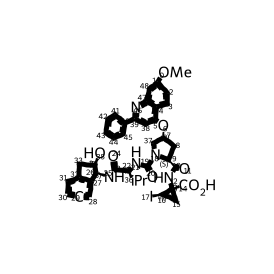 COc1ccc2c(O[C@@H]3C[C@@H](C(=O)N[C@]4(C(=O)O)C[C@H]4I)N(C(=O)N[C@H](C(=O)N[C@H]4c5ccccc5C[C@H]4O)C(C)C)C3)cc(-c3ccccc3)nc2c1